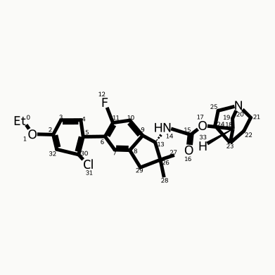 CCOc1ccc(-c2cc3c(cc2F)[C@H](NC(=O)O[C@@H]2CN4CCC2CC4)C(C)(C)C3)c(Cl)c1